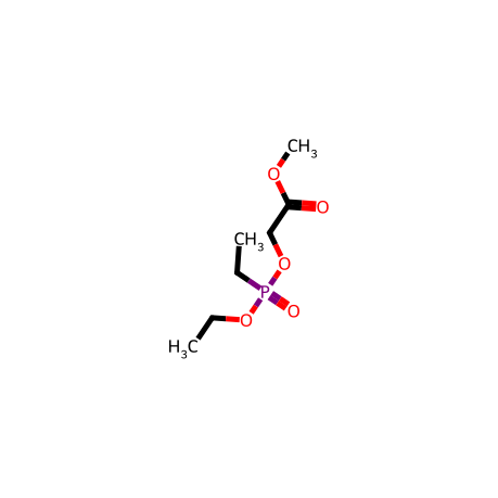 CCOP(=O)(CC)OCC(=O)OC